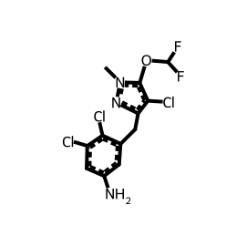 Cn1nc(Cc2cc(N)cc(Cl)c2Cl)c(Cl)c1OC(F)F